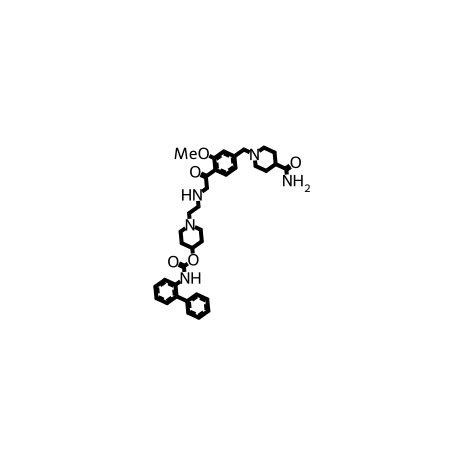 COc1cc(CN2CCC(C(N)=O)CC2)ccc1C(=O)CNCCN1CCC(OC(=O)Nc2ccccc2-c2ccccc2)CC1